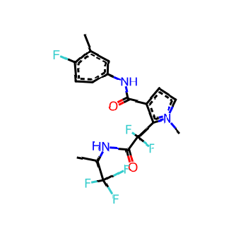 Cc1cc(NC(=O)c2ccn(C)c2C(F)(F)C(=O)NC(C)C(F)(F)F)ccc1F